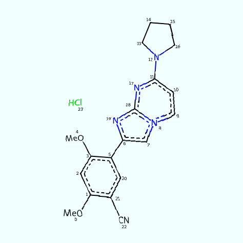 COc1cc(OC)c(-c2cn3ccc(N4CCCC4)nc3n2)cc1C#N.Cl